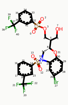 O=S(=O)(OC[C@@H](CO)[C@H]1CN(S(=O)(=O)c2cccc(C(F)(F)F)c2)c2cc(Br)ccc2O1)c1cccc(C(F)(F)F)c1